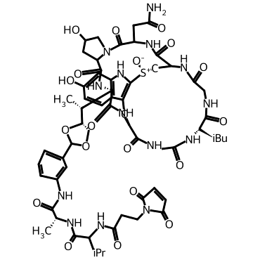 CC[C@H](C)[C@@H]1NC(=O)CNC(=O)C2Cc3c([nH]c4cc(O)ccc34)[S@+]([O-])CC(NC(=O)CNC1=O)C(=O)NC(CC(N)=O)C(=O)N1CC(O)CC1C(=O)N[C@@H]([C@@H](C)[C@@H]1COC(c3cccc(NC(=O)[C@@H](C)NC(=O)C(NC(=O)CCN4C(=O)C=CC4=O)C(C)C)c3)O1)C(=O)N2